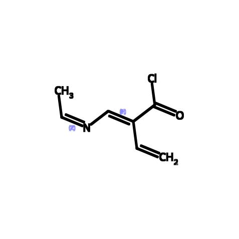 C=C/C(=C\N=C/C)C(=O)Cl